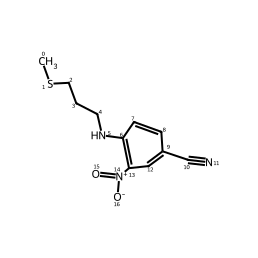 CSCCCNc1ccc(C#N)cc1[N+](=O)[O-]